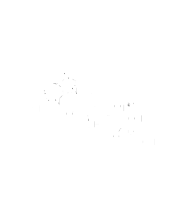 CCOC(=O)C(OC[C@H]1O[C@@H](n2cnc3ccc(Cl)nc32)[C@H](O)[C@@H]1O)P(=O)(O)O